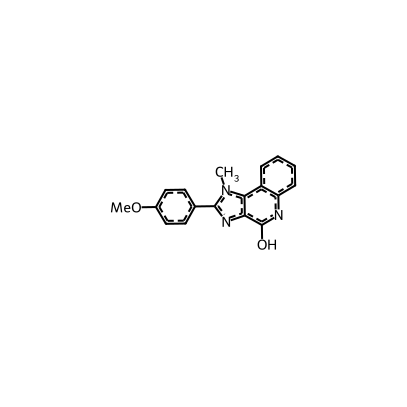 COc1ccc(-c2nc3c(O)nc4ccccc4c3n2C)cc1